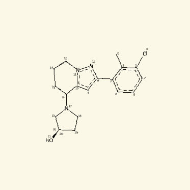 Cc1c(Cl)cccc1-c1cc2n(n1)CCCC2N1CC[C@@H](O)C1